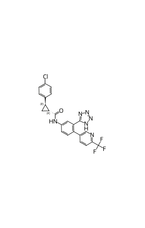 O=C(Nc1ccc(-c2ccc(C(F)(F)F)nc2)c(-c2nnn[nH]2)c1)[C@@H]1C[C@H]1c1ccc(Cl)cc1